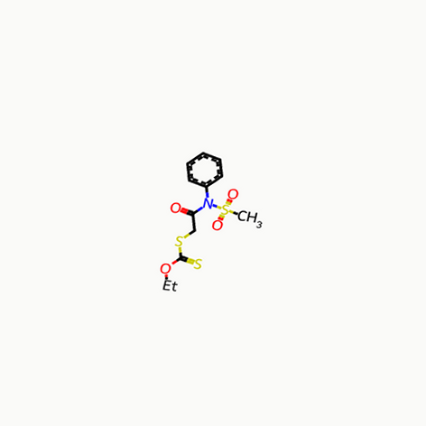 CCOC(=S)SCC(=O)N(c1ccccc1)S(C)(=O)=O